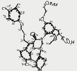 COCCOc1cc(N2C[C@@H](C)n3c(c(CCCOc4cc(C)c(Cl)c(C)c4)c4ccc(Cl)c(-c5c(C)ncnc5C)c43)C2=O)c2c(c1)cc(C(=O)O)n2C